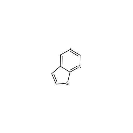 [c]1cnc2sccc2c1